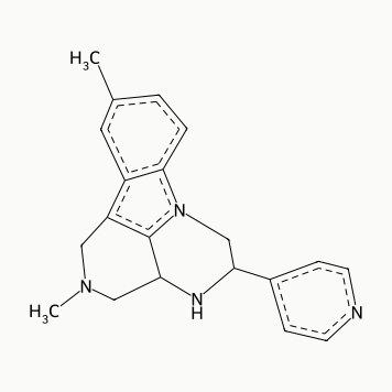 Cc1ccc2c(c1)c1c3n2CC(c2ccncc2)NC3CN(C)C1